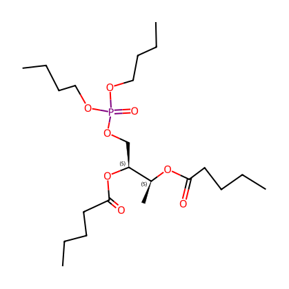 CCCCOP(=O)(OCCCC)OC[C@H](OC(=O)CCCC)[C@H](C)OC(=O)CCCC